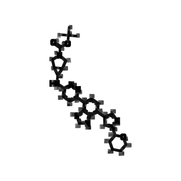 CC(C)(C)OC(=O)N1CC2C(C1)C2Nc1ccc(-c2ccc(-c3cnn(C4CCCCO4)c3)c3ncsc23)nn1